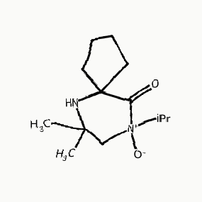 CC(C)[N+]1([O-])CC(C)(C)NC2(CCCC2)C1=O